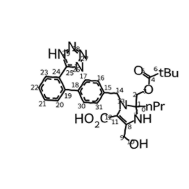 CCCC1(COC(=O)C(C)(C)C)NC(CO)=C(C(=O)O)N1Cc1ccc(-c2ccccc2-c2nnn[nH]2)cc1